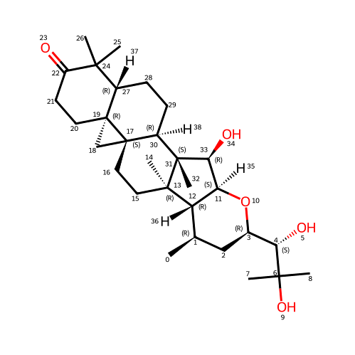 C[C@@H]1C[C@H]([C@H](O)C(C)(C)O)O[C@H]2[C@H]1[C@@]1(C)CC[C@@]34C[C@@]35CCC(=O)C(C)(C)[C@@H]5CC[C@H]4[C@]1(C)[C@H]2O